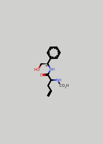 C=CCC(NC(=O)O)C(=O)N[C@@H](CO)c1ccccc1